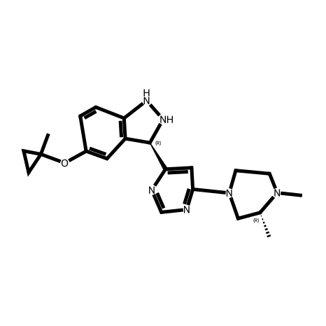 C[C@@H]1CN(c2cc([C@@H]3NNc4ccc(OC5(C)CC5)cc43)ncn2)CCN1C